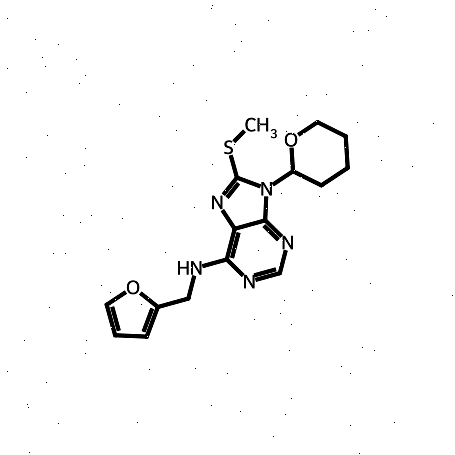 CSc1nc2c(NCc3ccco3)ncnc2n1C1CCCCO1